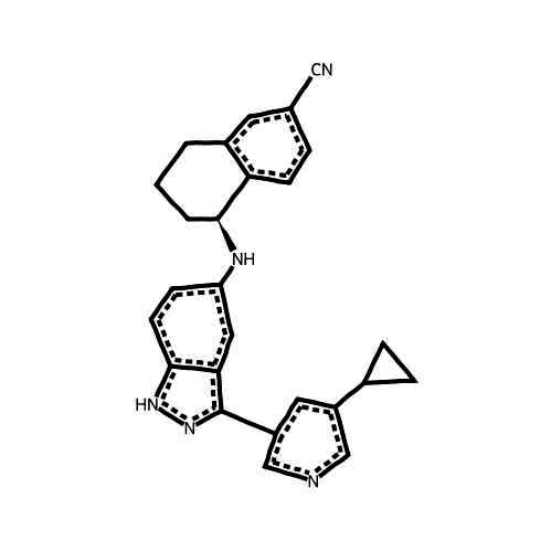 N#Cc1ccc2c(c1)CCC[C@@H]2Nc1ccc2[nH]nc(-c3cncc(C4CC4)c3)c2c1